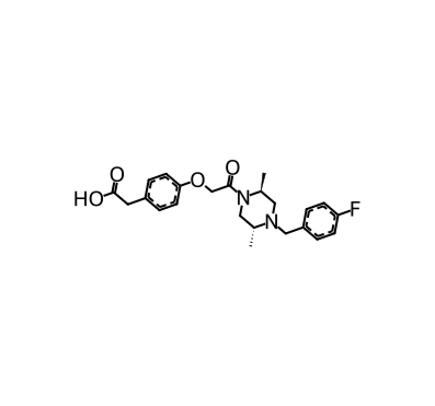 C[C@@H]1CN(C(=O)COc2ccc(CC(=O)O)cc2)[C@@H](C)CN1Cc1ccc(F)cc1